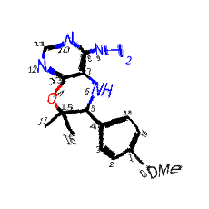 COc1ccc(C2Nc3c(N)ncnc3OC2(C)C)cc1